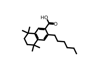 CCCCCCc1cc2c(cc1C(=O)O)C(C)(C)CCC2(C)C